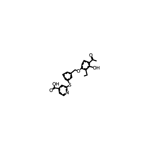 CCc1c(OCc2cccc(Sc3cc(C(=O)O)ccn3)c2)ccc(C(C)=O)c1O